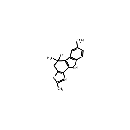 Cc1nc2c(s1)CC(C)(C)c1c-2[nH]c2ccc(C(=O)O)cc12